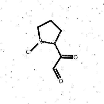 O=CC(=O)C1CCCN1Cl